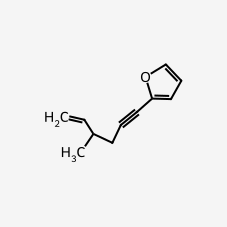 C=CC(C)CC#Cc1ccco1